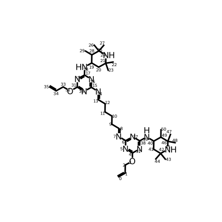 C=CCOc1nc(N=CCCCCC=Nc2nc(NC3CC(C)(C)NC(C)(C)C3C)nc(OCC=C)n2)nc(NC2CC(C)(C)NC(C)(C)C2C)n1